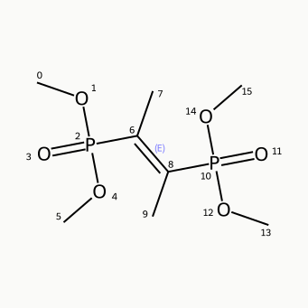 COP(=O)(OC)/C(C)=C(\C)P(=O)(OC)OC